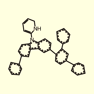 C1=CCNC(n2c3ccc(-c4ccccc4)cc3c3cc(-c4ccc(-c5ccccc5)cc4-c4ccccc4)ccc32)=C1